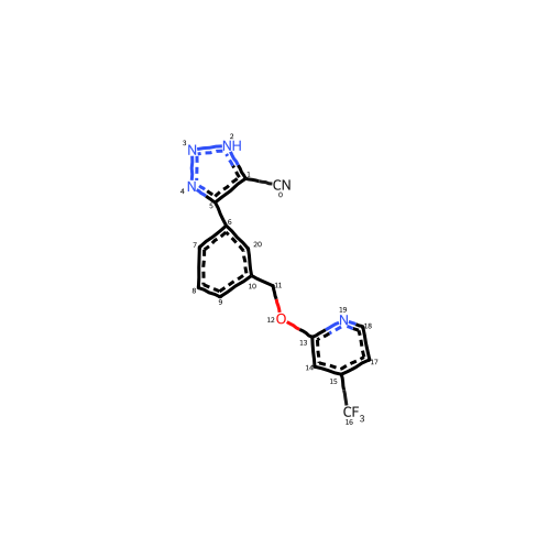 N#Cc1[nH]nnc1-c1cccc(COc2cc(C(F)(F)F)ccn2)c1